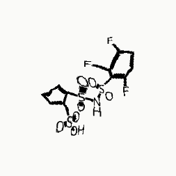 O=S(=O)(O)c1ccccc1S(=O)(=O)NS(=O)(=O)c1c(F)ccc(F)c1F